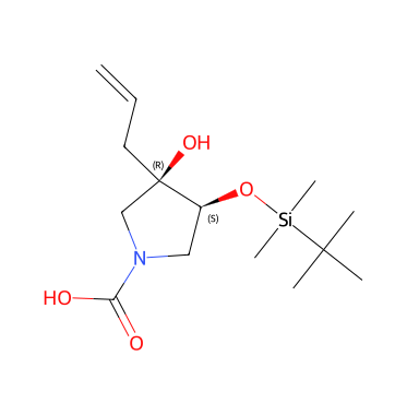 C=CC[C@@]1(O)CN(C(=O)O)C[C@@H]1O[Si](C)(C)C(C)(C)C